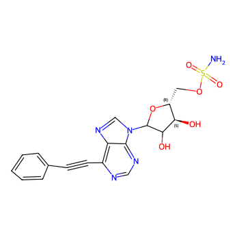 NS(=O)(=O)OC[C@H]1OC(n2cnc3c(C#Cc4ccccc4)ncnc32)C(O)[C@@H]1O